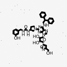 O=C(NCc1cccc(O)c1)NC1CCN(c2nc(NCC(c3ccccc3)c3ccccc3)c3ncn([C@@H]4O[C@H](c5cc(CO)no5)[C@@H](O)[C@H]4O)c3n2)C1